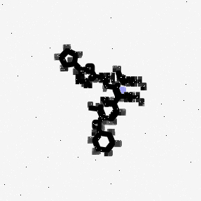 Cc1nc(/C(N)=C(\CNc2nnc(C3CCCC3)o2)N(C)N)ccc1OC1CCCCC1